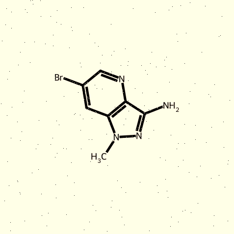 Cn1nc(N)c2ncc(Br)cc21